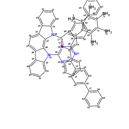 Bc1c(B)c(B)c(-c2cc(-c3ccccc3)cc(-n3c4ccccc4c4ccc5c6ccccc6n(-c6nc(-c7ccc(-c8ccccc8)cc7)nc(-c7ccc(-c8ccccc8)cc7)n6)c5c43)c2)c(B)c1B